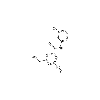 [C-]#[N+]c1cc(CO)nc(C(=O)Nc2cccc(Cl)c2)c1